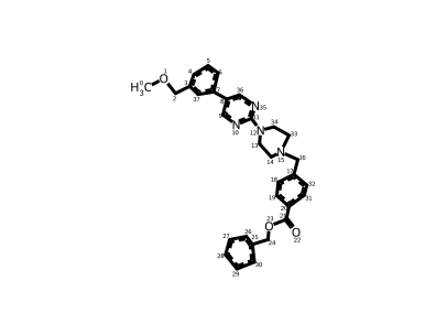 COCc1cccc(-c2cnc(N3CCN(Cc4ccc(C(=O)OCc5ccccc5)cc4)CC3)nc2)c1